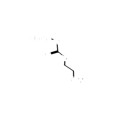 CCCCCOC(=O)NCCOC